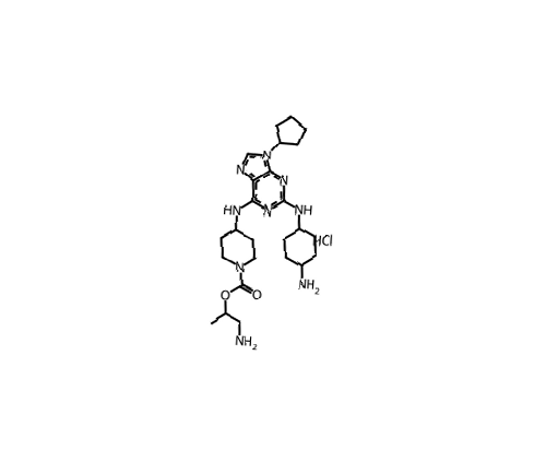 CC(CN)OC(=O)N1CCC(Nc2nc(NC3CCC(N)CC3)nc3c2ncn3C2CCCC2)CC1.Cl